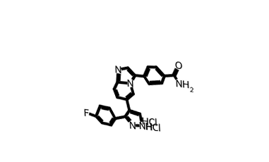 Cl.Cl.NC(=O)c1ccc(-c2cnc3ccc(-c4c[nH]nc4-c4ccc(F)cc4)cn23)cc1